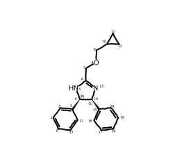 c1ccc([C@H]2NC(COCC3CC3)=N[C@H]2c2ccccc2)cc1